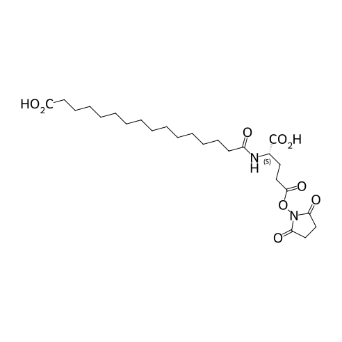 O=C(O)CCCCCCCCCCCCCCC(=O)N[C@@H](CCC(=O)ON1C(=O)CCC1=O)C(=O)O